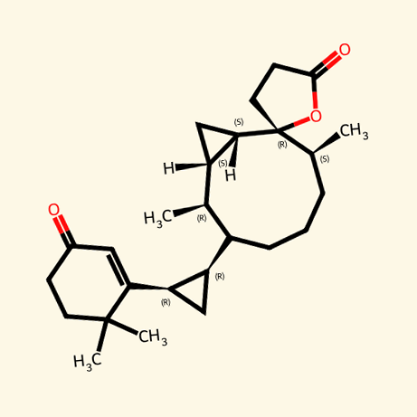 C[C@@H]1C([C@H]2C[C@H]2C2=CC(=O)CCC2(C)C)CCC[C@H](C)[C@]2(CCC(=O)O2)[C@H]2C[C@@H]12